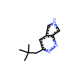 CC(C)(C)Cc1cc2c[nH]cc2nn1